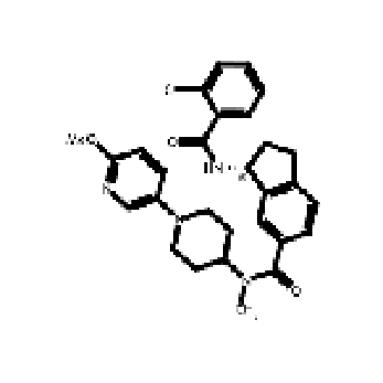 COc1ccc(N2CCC(N(C)C(=O)c3ccc4c(c3)[C@H](NC(=O)c3ccccc3Cl)CC4)CC2)cn1